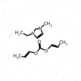 CC=COC(=O)OC=CC.CCN1C=CN(C)C1